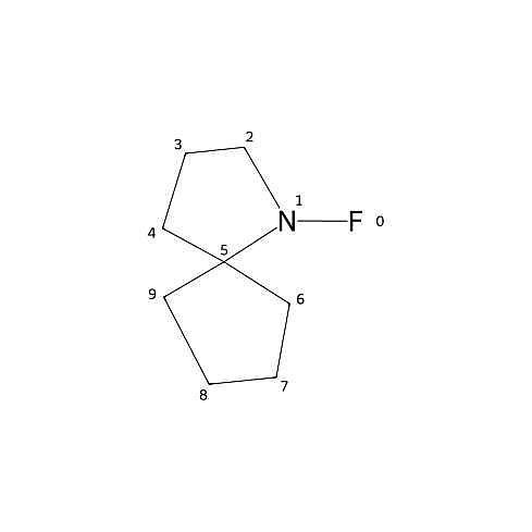 FN1CCCC12CCCC2